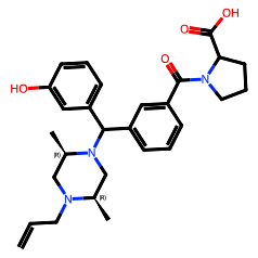 C=CCN1C[C@@H](C)N(C(c2cccc(O)c2)c2cccc(C(=O)N3CCCC3C(=O)O)c2)C[C@H]1C